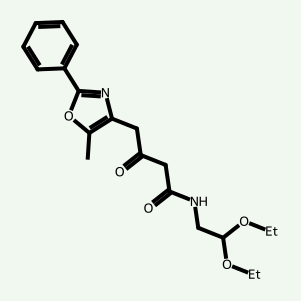 CCOC(CNC(=O)CC(=O)Cc1nc(-c2ccccc2)oc1C)OCC